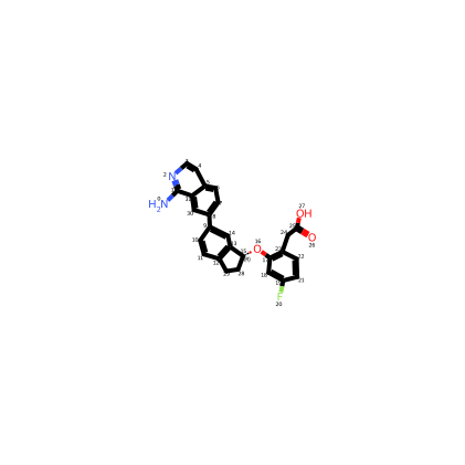 Nc1nccc2ccc(-c3ccc4c(c3)[C@H](Oc3cc(F)ccc3CC(=O)O)CC4)cc12